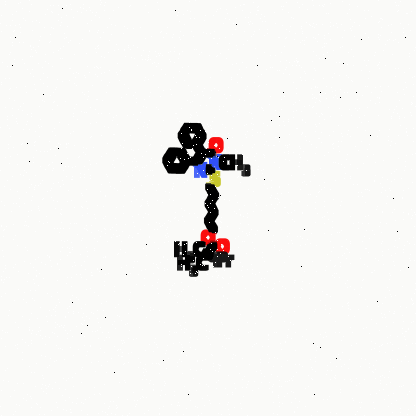 CC(C)C(C)(C)C(=O)OCCCCCCSc1nc(-c2ccccc2)c(-c2ccccc2)c(=O)n1C